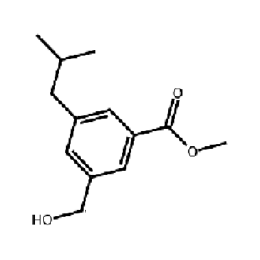 COC(=O)c1cc([CH]O)cc(CC(C)C)c1